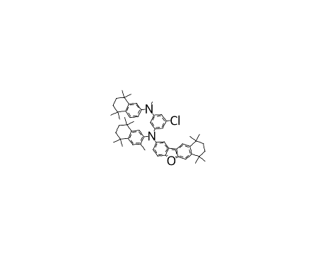 Cc1cc2c(cc1N(c1cc(Cl)cc(N(C)c3ccc4c(c3)C(C)(C)CCC4(C)C)c1)c1ccc3oc4cc5c(cc4c3c1)C(C)(C)CCC5(C)C)C(C)(C)CCC2(C)C